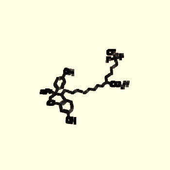 CCCC1(c2ccc(O)cc2)COc2cc(O)ccc2C1CCCCCCCCC(CCCCC(F)(F)C(F)(F)F)C(=O)O